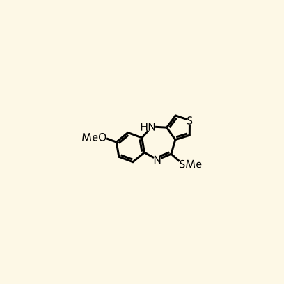 COc1ccc2c(c1)Nc1cscc1C(SC)=N2